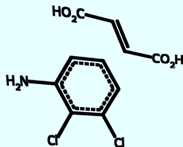 Nc1cccc(Cl)c1Cl.O=C(O)C=CC(=O)O